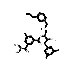 C=CCc1cccc(CNCC(OC(=O)c2cc(C)cc(C(=O)N(CCC)CCC)c2)C(N)Cc2cc(F)cc(F)c2)c1